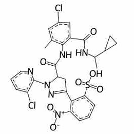 Cc1cc(Cl)cc(C(=O)NC(C)C2CC2)c1NC(=O)C1CC(c2c([N+](=O)[O-])cccc2S(=O)(=O)O)=NN1c1ncccc1Cl